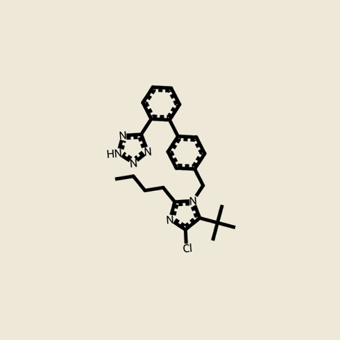 CCCCc1nc(Cl)c(C(C)(C)C)n1Cc1ccc(-c2ccccc2-c2nn[nH]n2)cc1